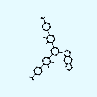 Cc1c(-c2ccc(C(=O)C(F)(F)F)cc2)ccc(-c2cc(-c3ccc(-c4ccc(C(=O)C(F)(F)F)cc4)c(C)c3C)cc(-n3ccc4cc5ccoc5cc43)c2)c1C